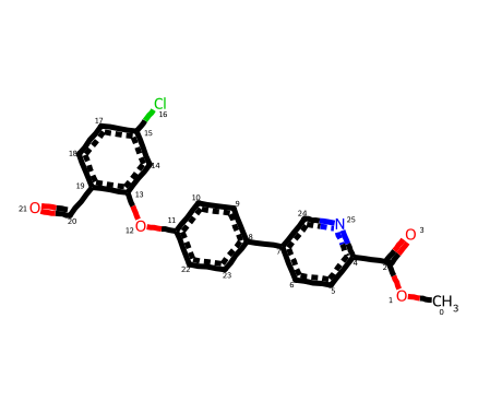 COC(=O)c1ccc(-c2ccc(Oc3cc(Cl)ccc3C=O)cc2)cn1